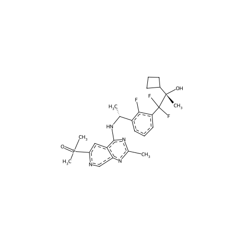 Cc1nc(N[C@H](C)c2cccc(C(F)(F)[C@@](C)(O)C3CCC3)c2F)c2cc(P(C)(C)=O)ncc2n1